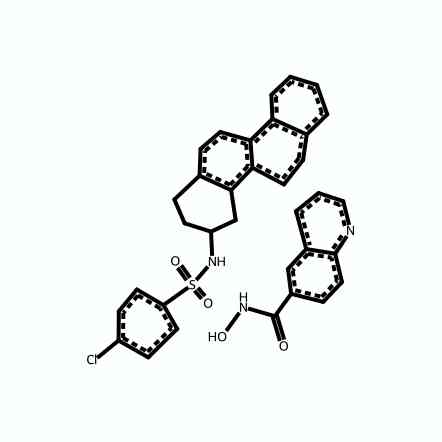 O=C(NO)c1ccc2ncccc2c1.O=S(=O)(NC1CCc2ccc3c(ccc4ccccc43)c2C1)c1ccc(Cl)cc1